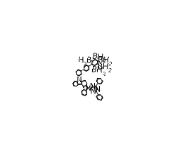 Bc1c(B)c(B)c(-c2ccc(-c3cccc(-n4c5ccccc5c5c6c7ccccc7n(-c7nc(-c8ccccc8)nc(-c8ccccc8)n7)c6ccc54)c3)cc2)c(B)c1B